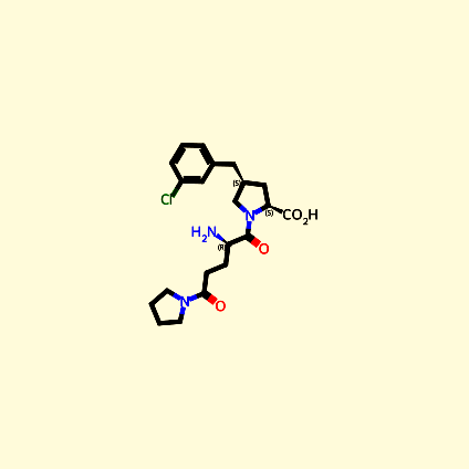 N[C@H](CCC(=O)N1CCCC1)C(=O)N1C[C@@H](Cc2cccc(Cl)c2)C[C@H]1C(=O)O